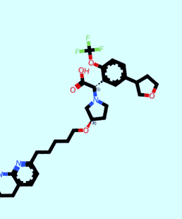 O=C(O)[C@H](c1cc(C2CCOC2)ccc1OC(F)(F)F)N1CC[C@@H](OCCCCCc2ccc3c(n2)NCCC3)C1